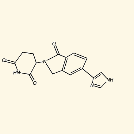 O=C1CCC(N2Cc3cc(-c4c[nH]cn4)ccc3C2=O)C(=O)N1